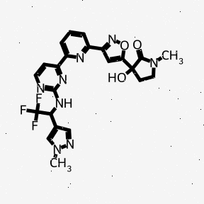 CN1CCC(O)(c2cc(-c3cccc(-c4ccnc(NC(c5cnn(C)c5)C(F)(F)F)n4)n3)no2)C1=O